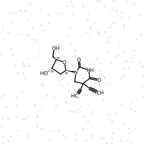 C#CC1(C#C)CN([C@H]2C[C@H](O)[C@@H](CO)O2)C(=O)NC1=O